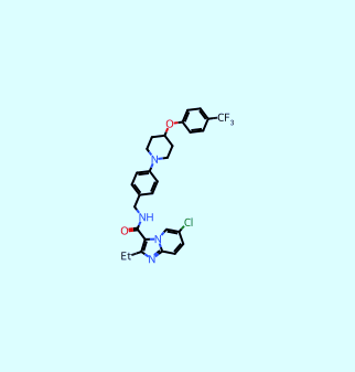 CCc1nc2ccc(Cl)cn2c1C(=O)NCc1ccc(N2CCC(Oc3ccc(C(F)(F)F)cc3)CC2)cc1